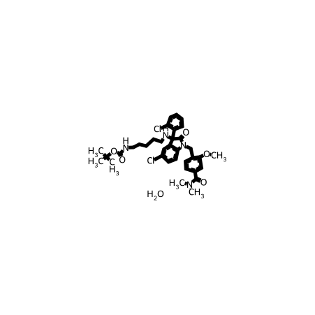 COc1cc(C(=O)N(C)C)ccc1CN1C(=O)C(NCCCCCNC(=O)OC(C)(C)C)(c2ccccc2Cl)c2cc(Cl)ccc21.O